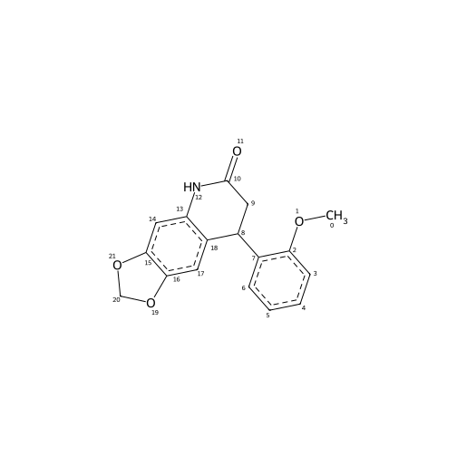 COc1ccccc1C1CC(=O)Nc2cc3c(cc21)OCO3